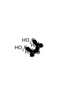 O=C(O)c1ccc(-c2nc(-c3ccc4c(c3)-c3cc(-c5[nH]c(-c6ccc(C(=O)O)cc6)nc5-c5ccccc5)ccc3C4=O)c(-c3ccccc3)[nH]2)cc1